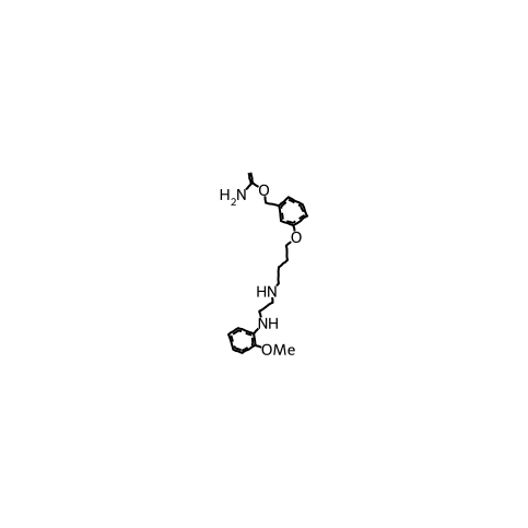 C=C(N)OCc1cccc(OCCCCNCCNc2ccccc2OC)c1